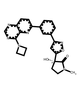 CN1CC[C@@](O)(c2cc(-c3cccc(-c4ccc5ncnc(N6CCC6)c5n4)c3)no2)C1=O